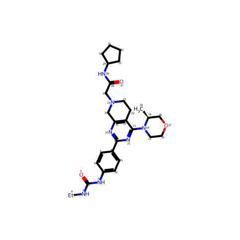 CCNC(=O)Nc1ccc(-c2nc3c(c(N4CCOC[C@@H]4C)n2)CCN(CC(=O)NC2CCCC2)C3)cc1